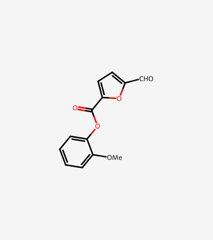 COc1ccccc1OC(=O)c1ccc(C=O)o1